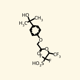 CC(C)(O)c1ccc(OCC(=O)OC(C(F)(F)F)C(F)(F)S(=O)(=O)O)cc1